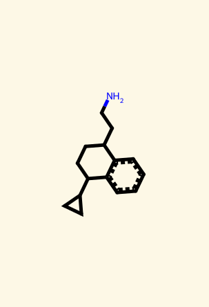 NCCC1CCC(C2CC2)c2ccccc21